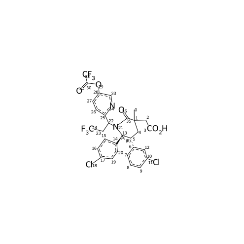 CC1(CC(=O)O)C[C@H](c2cccc(Cl)c2)[C@@H](c2ccc(Cl)cc2)N(C(CC(F)(F)F)c2ccc(OC(=O)C(F)(F)F)cn2)C1=O